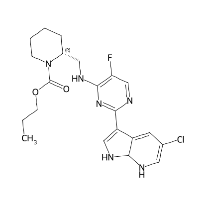 CCCOC(=O)N1CCCC[C@@H]1CNc1nc(C2=CNC3NC=C(Cl)C=C23)ncc1F